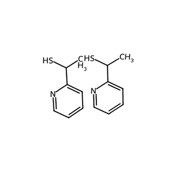 CC(S)c1ccccn1.CC(S)c1ccccn1